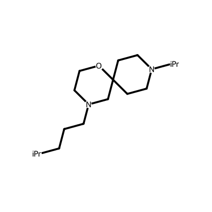 CC(C)CCCN1CCOC2(CCN(C(C)C)CC2)C1